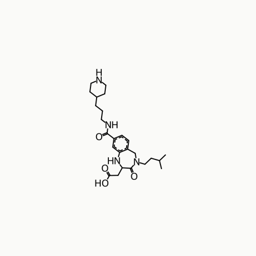 CC(C)CCN1Cc2ccc(C(=O)NCCCC3CCNCC3)cc2NC(CC(=O)O)C1=O